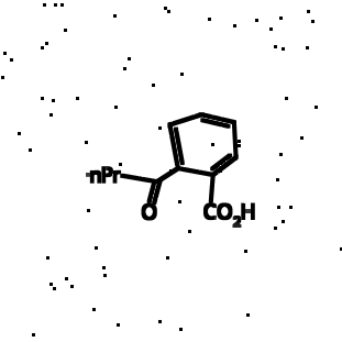 CC[CH]C(=O)c1ccccc1C(=O)O